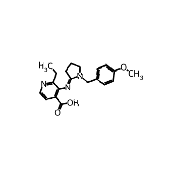 CCc1nccc(C(=O)O)c1N=C1CCCN1Cc1ccc(OC)cc1